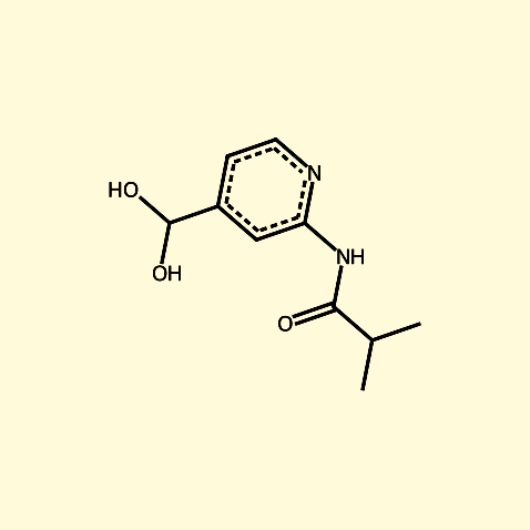 CC(C)C(=O)Nc1cc(C(O)O)ccn1